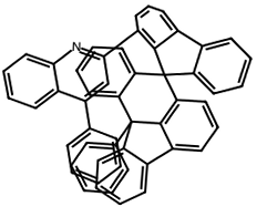 c1ccc(-c2cc(-c3cccc4c3C3(c5ccccc5-4)c4ccccc4C4(c5ccccc5)c5ccccc5-c5cccc3c54)nc3ccccc23)cc1